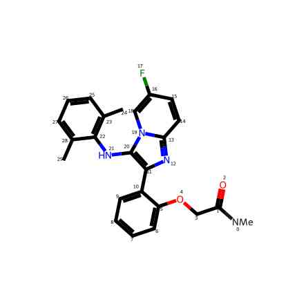 CNC(=O)COc1ccccc1-c1nc2ccc(F)cn2c1Nc1c(C)cccc1C